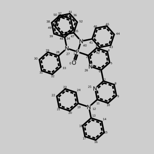 O=P(c1cccc(-c2cccc(N(c3ccccc3)c3ccccc3)n2)n1)(N(c1ccccc1)c1ccccc1)N(c1ccccc1)c1ccccc1